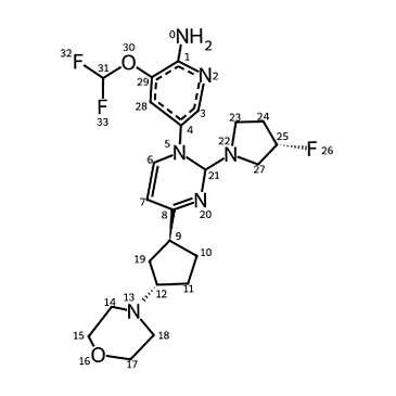 Nc1ncc(N2C=CC([C@H]3CC[C@H](N4CCOCC4)C3)=NC2N2CC[C@H](F)C2)cc1OC(F)F